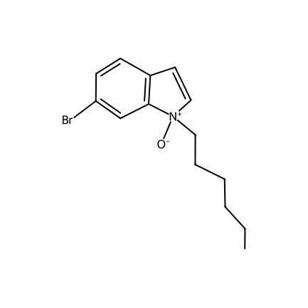 CCCCCC[N+]1([O-])C=Cc2ccc(Br)cc21